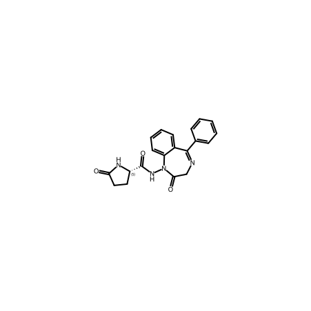 O=C1CC[C@@H](C(=O)NN2C(=O)CN=C(c3ccccc3)c3ccccc32)N1